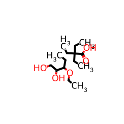 CCC(CC)(CC)C(=O)O.CCOC(CC)C(O)CO